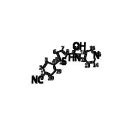 N#Cc1ccc(-c2ccc(C(O)Nc3ccncc3)s2)cc1